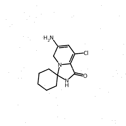 NC1=CC(Cl)=C2C(=O)NC3(CCCCC3)N2C1